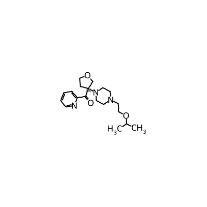 CC(C)OCCN1CCN([C@@]2(C(=O)c3ccccn3)CCOC2)CC1